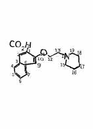 O=C(O)c1cc2ccccc2cc1OCCN1CCCCC1